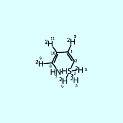 [2H]C1=C[SH]([2H])([2H])([2H])NC([2H])=C1[2H]